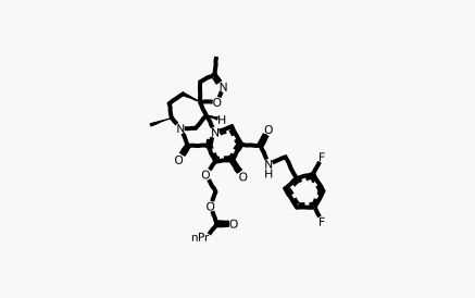 CCCC(=O)OCOc1c2n(cc(C(=O)NCc3ccc(F)cc3F)c1=O)[C@@H]1CN(C2=O)[C@@H](C)CC[C@]12CC(C)=NO2